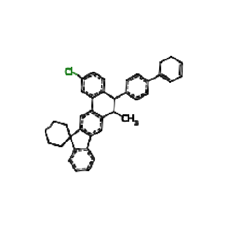 CC1c2cc3c(cc2-c2cc(Cl)ccc2C1c1ccc(C2=CC=CCC2)cc1)C1(CCCCC1)c1ccccc1-3